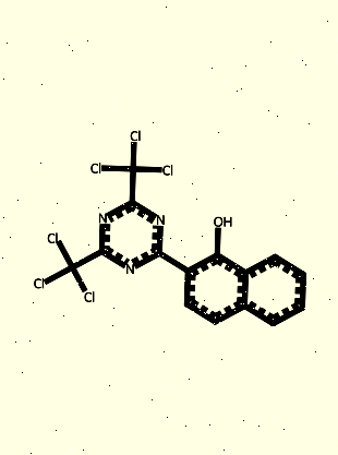 Oc1c(-c2nc(C(Cl)(Cl)Cl)nc(C(Cl)(Cl)Cl)n2)ccc2ccccc12